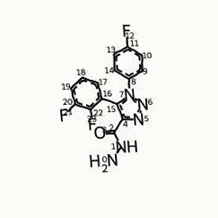 NNC(=O)c1nnn(-c2ccc(F)cc2)c1-c1cccc(F)c1F